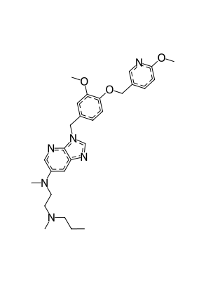 CCCN(C)CCN(C)c1cnc2c(c1)ncn2Cc1ccc(OCc2ccc(OC)nc2)c(OC)c1